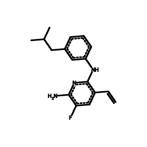 C=Cc1cc(F)c(N)nc1Nc1cccc(CC(C)C)c1